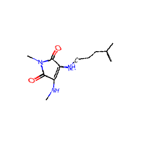 CNC1=C(NCCCC(C)C)C(=O)N(C)C1=O